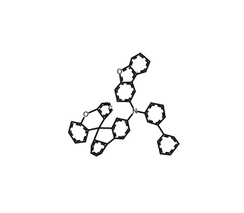 c1ccc(-c2cccc(N(c3ccc4c(c3)C3(c5ccccc5Oc5ccccc53)c3ccccc3-4)c3ccc4oc5ccccc5c4c3)c2)cc1